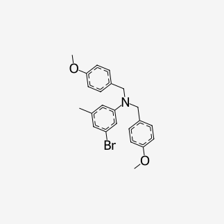 COc1ccc(CN(Cc2ccc(OC)cc2)c2cc(C)cc(Br)c2)cc1